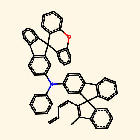 C=C/C=C\C1=C(C)c2ccccc2C12c1ccccc1-c1ccc(N(c3ccccc3)c3ccc4c(c3)C3(c5ccccc5Oc5ccccc53)c3ccccc3-4)cc12